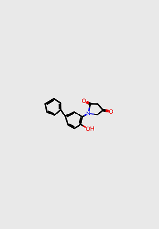 O=C1CC(=O)N(c2cc(-c3ccccc3)ccc2O)C1